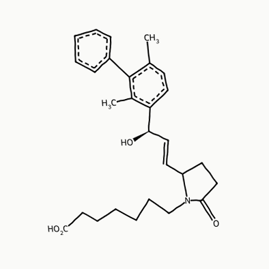 Cc1ccc([C@H](O)/C=C/C2CCC(=O)N2CCCCCCC(=O)O)c(C)c1-c1ccccc1